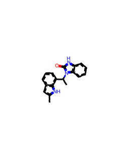 Cc1cc2cccc(C(C)n3c(=O)[nH]c4ccccc43)c2[nH]1